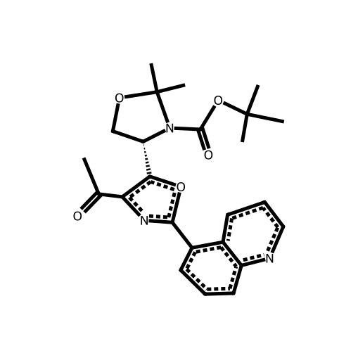 CC(=O)c1nc(-c2cccc3ncccc23)oc1[C@@H]1COC(C)(C)N1C(=O)OC(C)(C)C